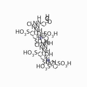 O=[SH](=O)c1cccc(Nc2nc(Cl)nc(Nc3cc(S(=O)(=O)O)cc4cc(S(=O)(=O)O)c(/N=N/c5cc(Nc6nc(Cl)nc(Nc7cc(S(=O)(=O)O)cc8cc(S(=O)(=O)O)c(/N=N/c9ccc%10c(S(=O)(=O)O)cccc%10c9S(=O)(=O)O)c(O)c78)n6)ccc5S(=O)(=O)O)c(O)c34)n2)c1